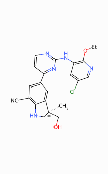 CCOc1ncc(Cl)cc1Nc1nccc(-c2cc(C#N)c3c(c2)[C@@](C)(CO)CN3)n1